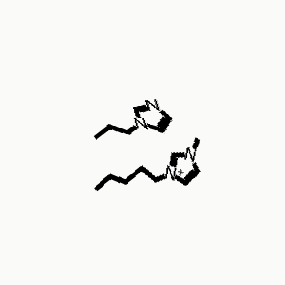 CCCCC[n+]1ccn(C)c1.CCCn1ccnc1